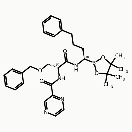 CC1(C)OB([C@H](CCCc2ccccc2)NC(=O)[C@@H](COCc2ccccc2)NC(=O)c2cnccn2)OC1(C)C